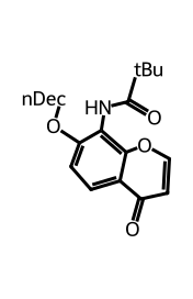 CCCCCCCCCCOc1ccc2c(=O)ccoc2c1NC(=O)C(C)(C)C